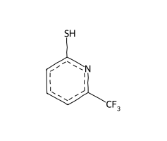 FC(F)(F)c1cccc(S)n1